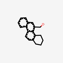 [O]Cc1cc2ccccc2c2ccc3c(c12)CCCC3